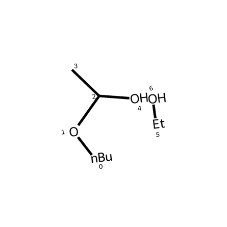 CCCCOC(C)O.CCO